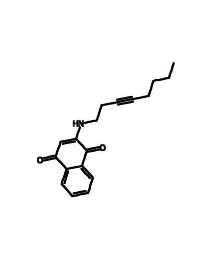 CCCCC#CCCNC1=CC(=O)c2ccccc2C1=O